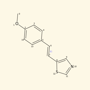 COc1ccc(/C=C/c2cncs2)cc1